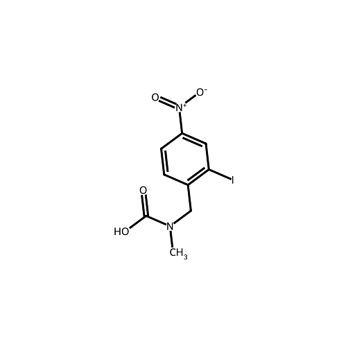 CN(Cc1ccc([N+](=O)[O-])cc1I)C(=O)O